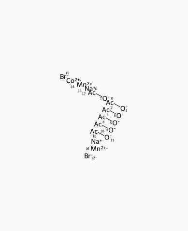 CC(=O)[O-].CC(=O)[O-].CC(=O)[O-].CC(=O)[O-].CC(=O)[O-].CC(=O)[O-].[Br-].[Br-].[Co+2].[Mn+2].[Mn+2].[Na+].[Na+]